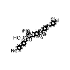 CC(C)OC(=O)N1Cc2cc3c(cc2CC1C(=O)N[C@@H](Cc1ccc(-c2ccc(C#N)cc2)cc1)C(=O)O)N(C)C(=O)C(c1ccc(OCc2ccc(Cl)c(Cl)c2)cc1)O3